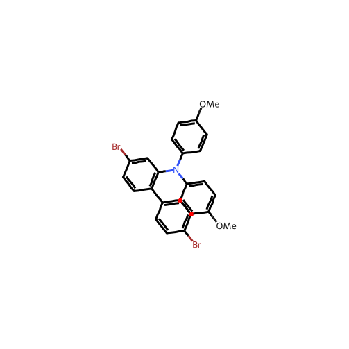 COc1ccc(N(c2ccc(OC)cc2)c2cc(Br)ccc2-c2ccc(Br)cc2)cc1